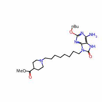 CCCCOc1nc(N)c2[nH]c(=O)n(CCCCCCCCN3CCC(C(=O)OC)CC3)c2n1